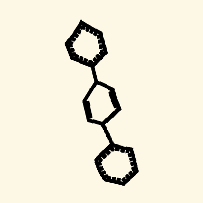 [c]1ccc(C2C=C[C](c3ccccc3)C=C2)cc1